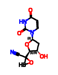 N#CC1([C@H]2O[C@@H](n3ccc(=O)[nH]c3=O)C[C@@H]2O)BO1